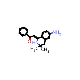 CC1(C)Cc2cc(N)ccc2/C(=C/C(=O)c2ccccc2)N1